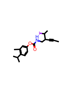 CC#CC(CNC(=O)Oc1ccc(C(C)C)c(C)c1)C(C)I